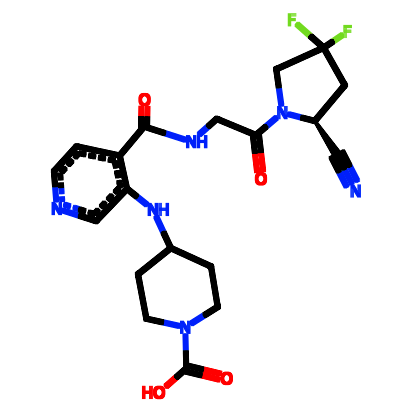 N#C[C@@H]1CC(F)(F)CN1C(=O)CNC(=O)c1ccncc1NC1CCN(C(=O)O)CC1